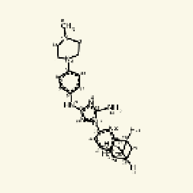 CN1CCN(c2ccc(Nc3nc(N)n(-c4ccc5c(n4)[C@@H]4C[C@H](C5)C4(C)C)n3)cc2)CC1